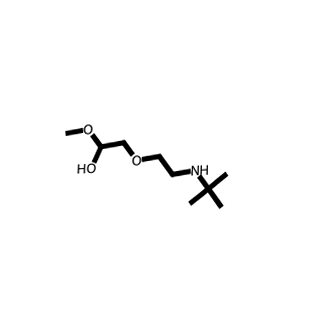 COC(O)COCCNC(C)(C)C